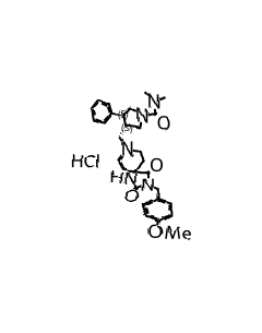 COc1ccc(CN2C(=O)NC3(CCN(C[C@H]4CN(C(=O)N(C)C)C[C@@H]4c4ccccc4)CC3)C2=O)cc1.Cl